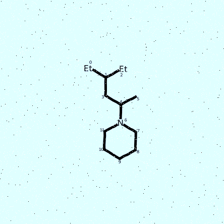 CCC(CC)CC(C)N1CCCCC1